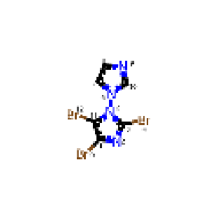 Brc1nc(Br)n(-n2ccnc2)c1Br